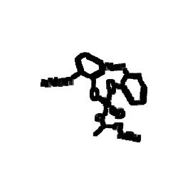 CCCCCCCCCc1ccccc1OP(=O)(Oc1ccccc1CCCCCCCCC)OC(C)OCCCC